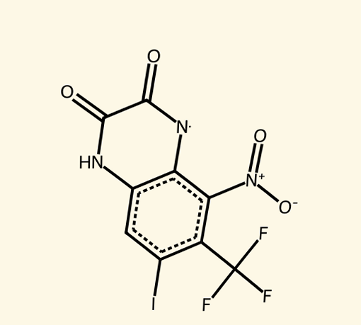 O=C1[N]c2c(cc(I)c(C(F)(F)F)c2[N+](=O)[O-])NC1=O